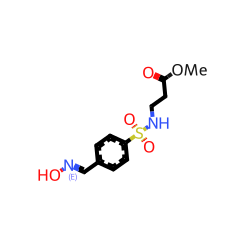 COC(=O)CCNS(=O)(=O)c1ccc(/C=N/O)cc1